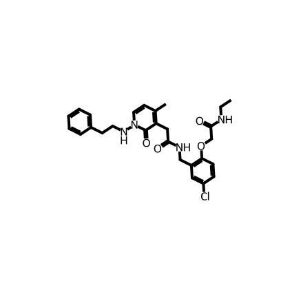 CCNC(=O)COc1ccc(Cl)cc1CNC(=O)Cc1c(C)ccn(NCCc2ccccc2)c1=O